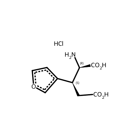 Cl.N[C@@H](C(=O)O)[C@@H](CC(=O)O)c1ccoc1